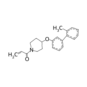 C=CC(=O)N1CCC(Oc2cccc(-c3ccccc3C)c2)CC1